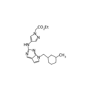 CCOC(=O)Cn1cc(Nc2ncc3ccn(CC4CCCC(C)C4)c3n2)cn1